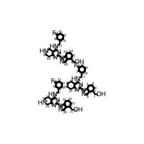 OCc1cccc2c1cnn2-c1nc2c(c(NCc3cccc(F)c3)n1)CCCC2.OCc1cccc2c1cnn2-c1nc2c(c(NCc3cccc(F)c3)n1)CCNC2.OCc1cccc2c1cnn2-c1nc2c(c(NCc3cccc(F)c3)n1)CNCC2